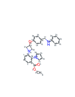 COC(=O)c1cccc(N2CC(Oc3ccc(CNc4ccccc4)cc3)C2)c1-n1cccc1